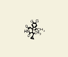 CC=C[C@@]1(c2ccc(Cl)c(Cl)c2)CC(=O)NC(=O)C1C(C)C1CC1